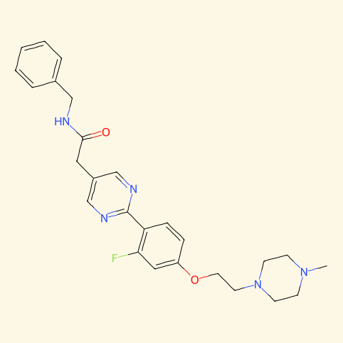 CN1CCN(CCOc2ccc(-c3ncc(CC(=O)NCc4ccccc4)cn3)c(F)c2)CC1